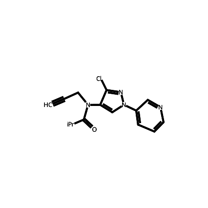 C#CCN(C(=O)C(C)C)c1cn(-c2cccnc2)nc1Cl